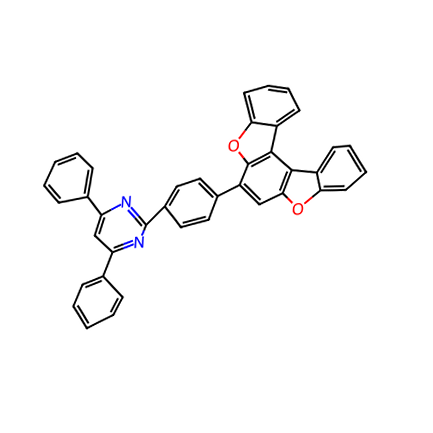 c1ccc(-c2cc(-c3ccccc3)nc(-c3ccc(-c4cc5oc6ccccc6c5c5c4oc4ccccc45)cc3)n2)cc1